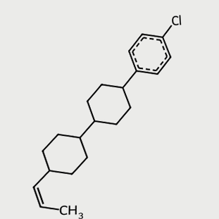 C/C=C\C1CCC(C2CCC(c3ccc(Cl)cc3)CC2)CC1